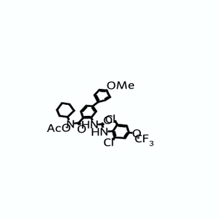 COc1ccc(-c2ccc(C(=O)N(OC(C)=O)C3CCCCC3)c(NC(=O)Nc3c(Cl)cc(OC(F)(F)F)cc3Cl)c2)cc1